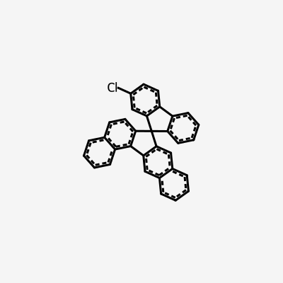 Clc1ccc2c(c1)C1(c3ccccc3-2)c2cc3ccccc3cc2-c2c1ccc1ccccc21